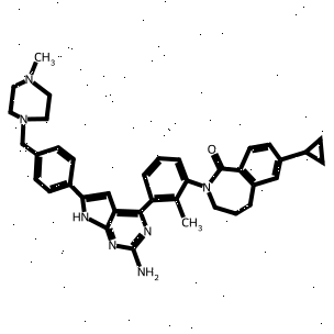 Cc1c(-c2nc(N)nc3[nH]c(-c4ccc(CN5CCN(C)CC5)cc4)cc23)cccc1N1CCCc2cc(C3CC3)ccc2C1=O